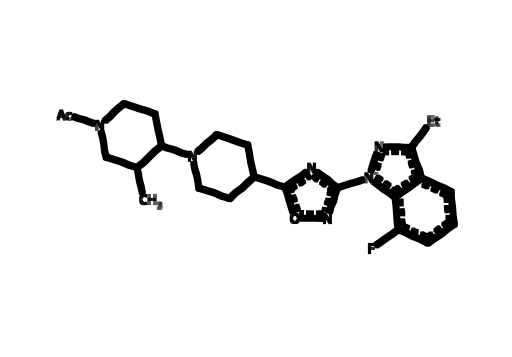 CCc1nn(-c2noc(C3CCN(C4CCN(C(C)=O)CC4C)CC3)n2)c2c(F)cccc12